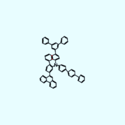 c1ccc(-c2ccc(-c3ccc(N(c4ccc(-c5cc(-c6ccccc6)cc(-c6ccccc6)c5)cc4)c4cc(-c5cc6ccccc6c6ccccc56)ccc4-c4ccccc4)cc3)cc2)cc1